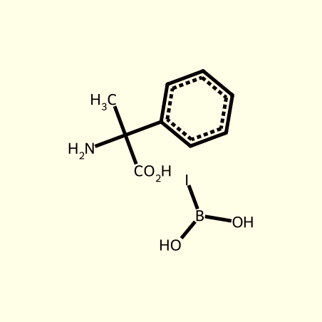 CC(N)(C(=O)O)c1ccccc1.OB(O)I